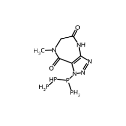 CN1CC(=O)Nc2nnn(P(P)PP)c2C1=O